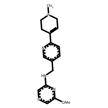 COc1cncc(NCc2ccc(C3=CCN(C)CC3)nc2)n1